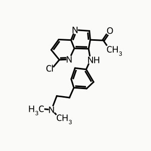 CC(=O)c1cnc2ccc(Cl)nc2c1Nc1ccc(CCN(C)C)cc1